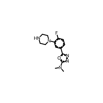 CN(C)c1nnc(-c2ccc(F)c(N3CCNCC3)c2)o1